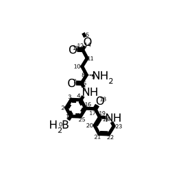 Bc1ccc(NC(=O)[C@@H](N)CCC(=O)OC)c(C(=O)C2=CC=CCN2)c1